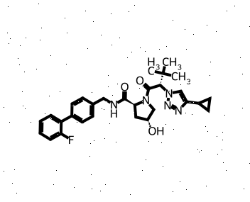 CC(C)(C)[C@@H](C(=O)N1C[C@H](O)C[C@H]1C(=O)NCc1ccc(-c2ccccc2F)cc1)n1cc(C2CC2)nn1